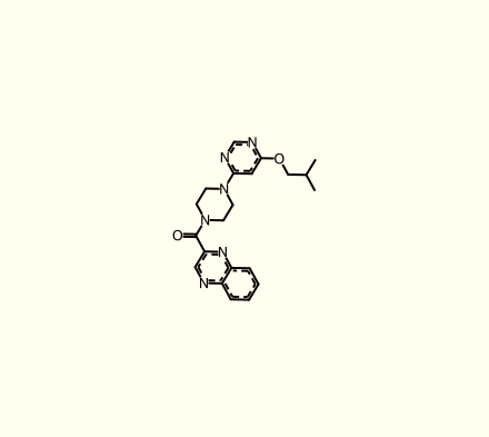 CC(C)COc1cc(N2CCN(C(=O)c3cnc4ccccc4n3)CC2)ncn1